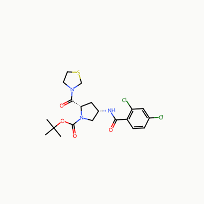 CC(C)(C)OC(=O)N1C[C@@H](NC(=O)c2ccc(Cl)cc2Cl)C[C@H]1C(=O)N1CCSC1